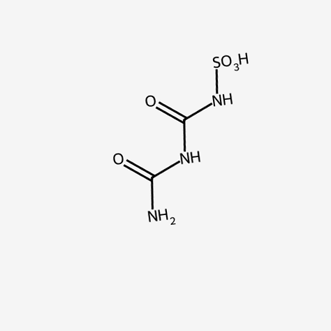 NC(=O)NC(=O)NS(=O)(=O)O